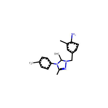 CC1=NN(Cc2ccc(N)c(C)c2)C(C=O)N1c1ccc(C(F)(F)F)cc1